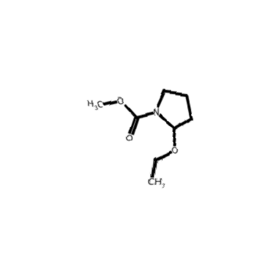 CCOC1CCCN1C(=O)OC